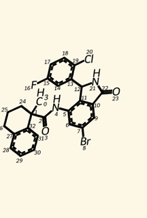 CC1(C(=O)Nc2cc(Br)cc3c2C(c2cc(F)ccc2Cl)NC3=O)CCCc2ccccc21